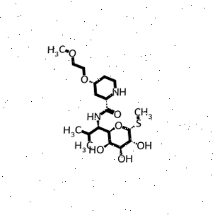 COCCO[C@@H]1CCN[C@H](C(=O)N[C@H](C(C)C)[C@H]2O[C@H](SC)[C@H](O)[C@@H](O)[C@H]2O)C1